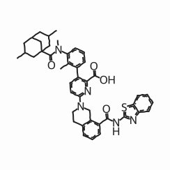 Cc1c(-c2ccc(N3CCc4cccc(C(=O)Nc5nc6ccccc6s5)c4C3)nc2C(=O)O)cccc1N(C)C(=O)C12CC(C)CC(CC(C)C1)C2